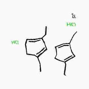 CC1=CCC(C)=C1.CC1=CCC(C)=C1.Cl.Cl.[Zr]